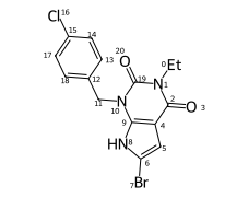 CCn1c(=O)c2cc(Br)[nH]c2n(Cc2ccc(Cl)cc2)c1=O